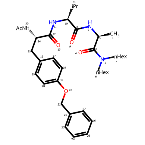 CCCCCCN(CCCCCC)C(=O)[C@H](C)NC(=O)[C@@H](NC(=O)[C@H](Cc1ccc(OCc2ccccc2)cc1)NC(C)=O)C(C)C